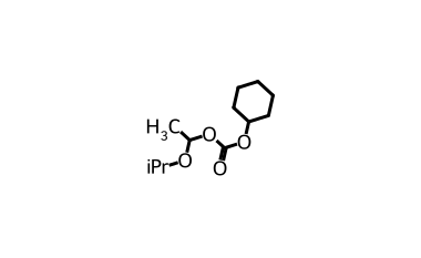 CC(C)OC(C)OC(=O)OC1CCCCC1